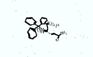 NC(=O)CC[C@@H](CC(=O)O)NC(c1ccccc1)(c1ccccc1)c1ccccc1